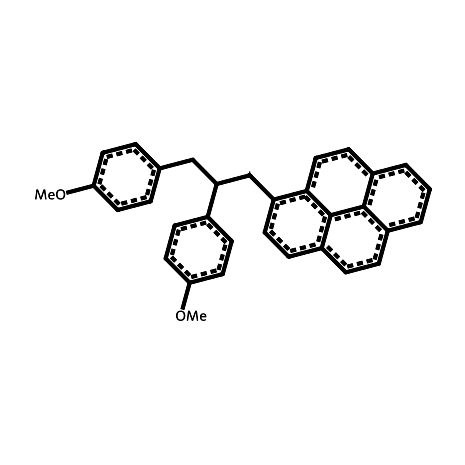 COc1ccc(CC([CH]c2ccc3ccc4cccc5ccc2c3c45)c2ccc(OC)cc2)cc1